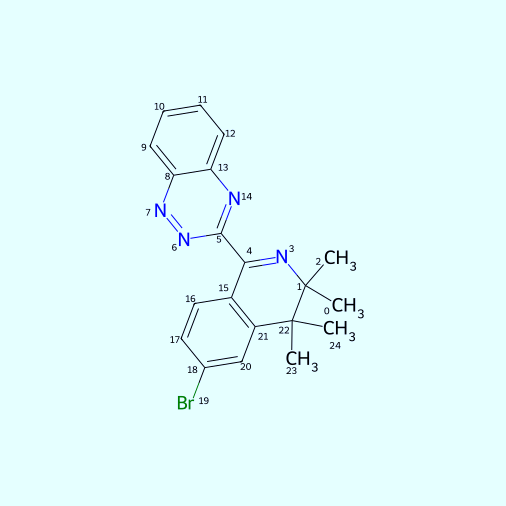 CC1(C)N=C(c2nnc3ccccc3n2)c2ccc(Br)cc2C1(C)C